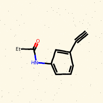 C#Cc1cccc(NC(=O)CC)c1